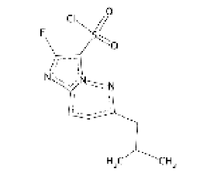 CC(C)Cc1ccc2nc(F)c(S(=O)(=O)Cl)n2n1